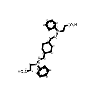 O=C(O)CCP(OCC1CCC(COP(CCC(=O)O)c2ccccc2)CC1)c1ccccc1